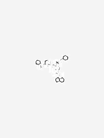 C[C@H](Nc1nccc(-n2cnc3ccccc32)n1)[C@@H]1CN(C(=O)Nc2cccc3ccccc23)CCN1C(=O)OCc1ccccc1